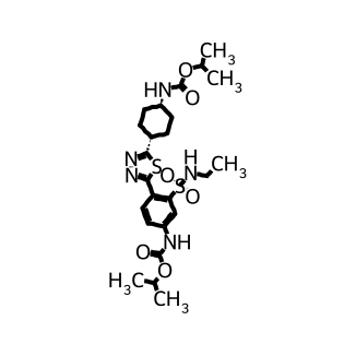 CCNS(=O)(=O)c1cc(NC(=O)OC(C)C)ccc1-c1nnc([C@H]2CC[C@@H](NC(=O)OC(C)C)CC2)s1